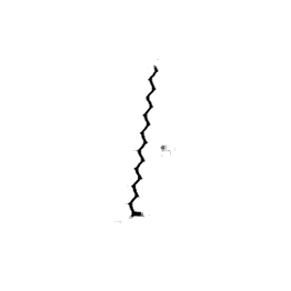 CCCCCCCCCCCCCCCCCC(=O)O.[O]=[Zn].[Zn]